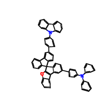 c1ccc(N(c2ccccc2)c2ccc(-c3ccc4c(c3)-c3c(oc5ccccc35)C43c4ccccc4-c4cc(-c5ccc(-n6c7ccccc7c7ccccc76)cc5)ccc43)cc2)cc1